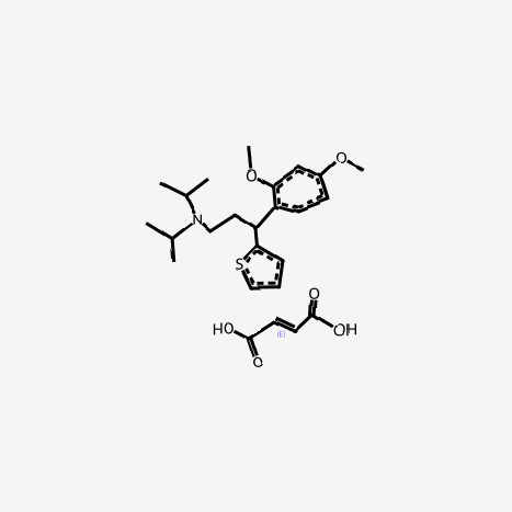 COc1ccc(C(CCN(C(C)C)C(C)C)c2cccs2)c(OC)c1.O=C(O)/C=C/C(=O)O